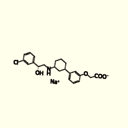 O=C([O-])COc1cccc(C2CCCC(NC[C@H](O)c3cccc(Cl)c3)C2)c1.[Na+]